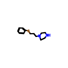 c1ccc(SCCCN2CCNCC2)cc1